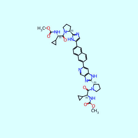 COC(=O)N[C@H](C(=O)N1CCC[C@H]1c1ncc(-c2ccc3cc(-c4cc5[nH]c([C@@H]6CCCN6C(=O)[C@@H](NC(=O)OC)C6CC6)nc5cn4)ccc3c2)[nH]1)C1CC1